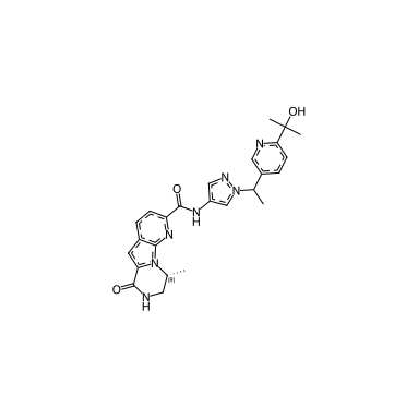 CC(c1ccc(C(C)(C)O)nc1)n1cc(NC(=O)c2ccc3cc4n(c3n2)[C@H](C)CNC4=O)cn1